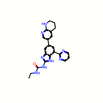 CCNC(=O)Nc1nc2cc(-c3cnc4c(c3)CCCN4)cc(-c3ncccn3)c2[nH]1